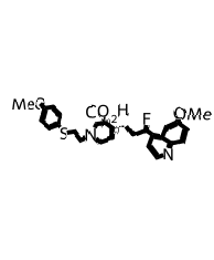 COc1ccc(SCCN2CC[C@@H](CCC(F)c3ccnc4ccc(OC)cc34)[C@@H](C(=O)O)C2)cc1